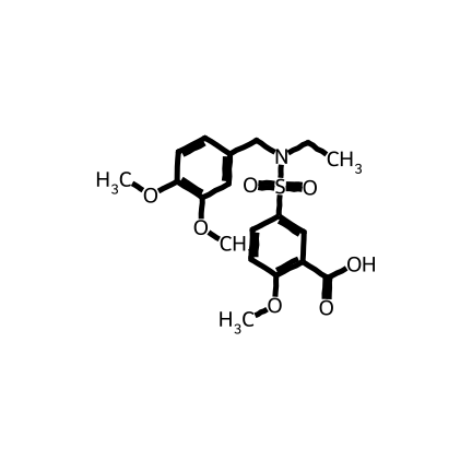 CCN(Cc1ccc(OC)c(OC)c1)S(=O)(=O)c1ccc(OC)c(C(=O)O)c1